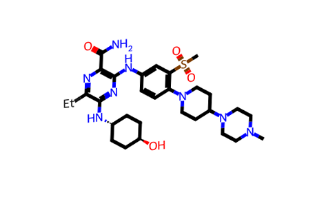 CCc1nc(C(N)=O)c(Nc2ccc(N3CCC(N4CCN(C)CC4)CC3)c(S(C)(=O)=O)c2)nc1N[C@H]1CC[C@H](O)CC1